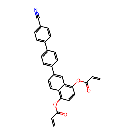 C=CC(=O)Oc1ccc(OC(=O)C=C)c2cc(-c3ccc(-c4ccc(C#N)cc4)cc3)ccc12